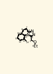 CCOCc1nnc2ccc3cccc(C)c3n12